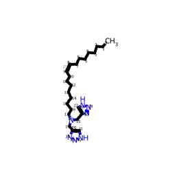 CCCCCCCC/C=C\CCCCCCCCN(Cc1c[nH]nn1)Cc1c[nH]nn1